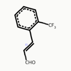 O=C/C=C/c1ccccc1C(F)(F)F